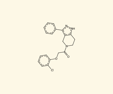 O=C(COc1ccccc1Cl)N1CCc2[nH]nc(-c3ccccc3)c2C1